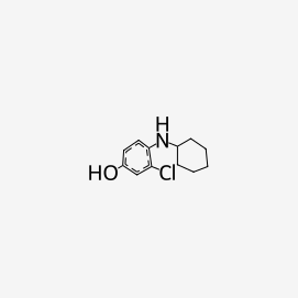 Oc1ccc(NC2CCCCC2)c(Cl)c1